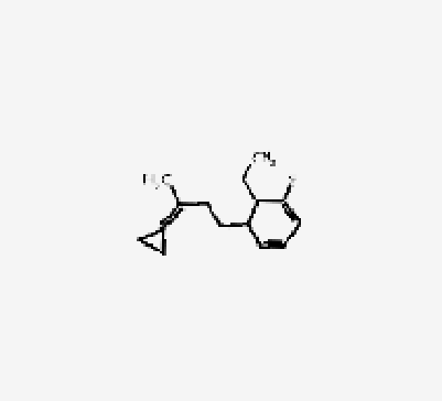 CCC1C(F)=CC=CC1CCC(C)=C1CC1